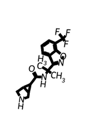 CC(C)(NC(=O)C1C2CNCC21)c1noc2c(C(F)(F)F)cccc12